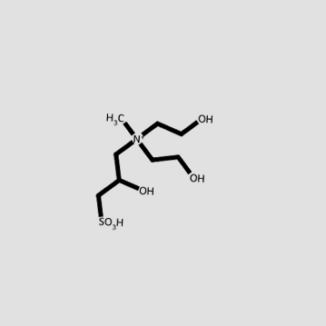 C[N+](CCO)(CCO)CC(O)CS(=O)(=O)O